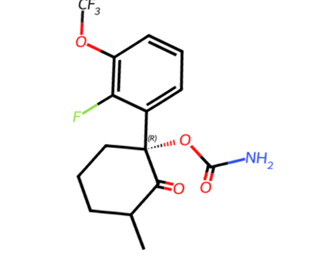 CC1CCC[C@@](OC(N)=O)(c2cccc(OC(F)(F)F)c2F)C1=O